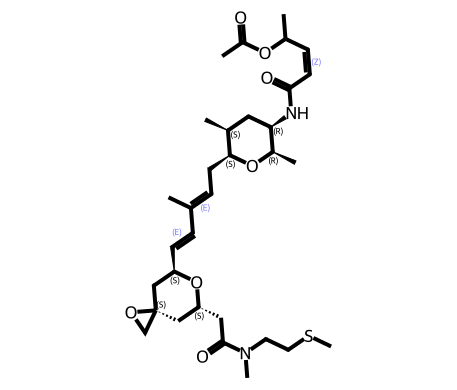 CSCCN(C)C(=O)C[C@@H]1C[C@@]2(CO2)C[C@@H](/C=C/C(C)=C/C[C@@H]2O[C@H](C)[C@H](NC(=O)/C=C\C(C)OC(C)=O)C[C@@H]2C)O1